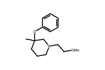 COCCN1CCCC(C)(Oc2ccccc2)C1